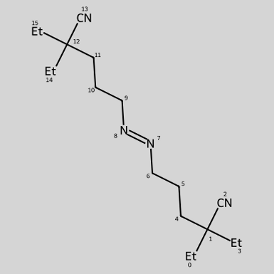 CCC(C#N)(CC)CCCN=NCCCC(C#N)(CC)CC